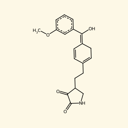 COc1cccc(C(O)=C2C=CC(CCC3CNC(=O)C3=O)=CC2)c1